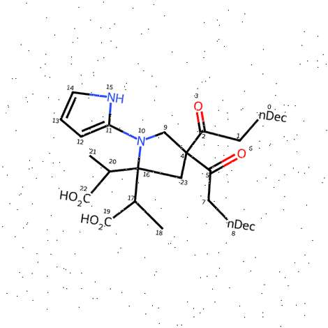 CCCCCCCCCCCC(=O)C1(C(=O)CCCCCCCCCCC)CN(c2ccc[nH]2)C(C(C)C(=O)O)(C(C)C(=O)O)C1